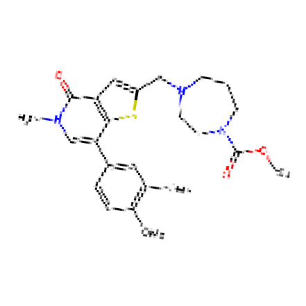 COc1ccc(-c2cn(C)c(=O)c3cc(CN4CCCN(C(=O)OC(C)(C)C)CC4)sc23)cc1OC